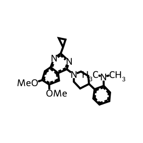 COc1cc2nc(C3CC3)nc(N3CCC(c4ccccc4N(C)C)CC3)c2cc1OC